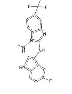 CNn1c(Nc2c[nH]c3ccc(F)cc23)nc2cc(C(C)(F)F)ccc21